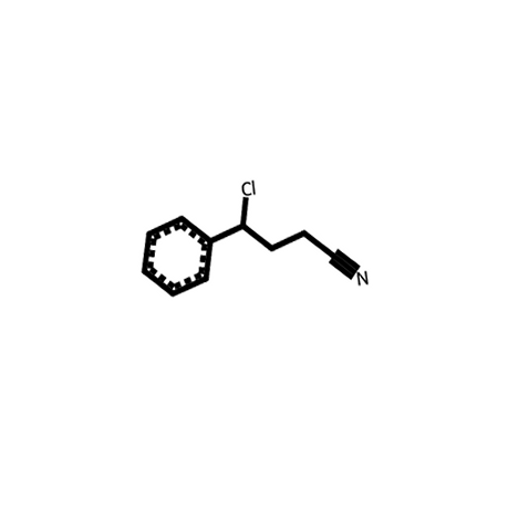 N#CCCC(Cl)c1ccccc1